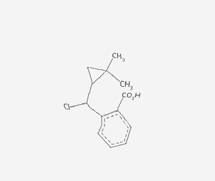 CC1(C)CC1C(Cl)c1ccccc1C(=O)O